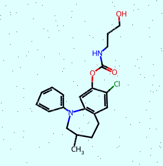 CC1CCc2cc(Cl)c(OC(=O)NCCCO)cc2N(c2ccccc2)C1